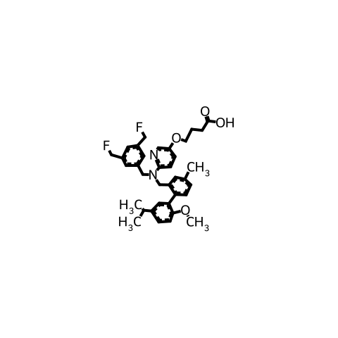 COc1ccc(C(C)C)cc1-c1ccc(C)cc1CN(Cc1cc(CF)cc(CF)c1)c1ccc(OCCCC(=O)O)cn1